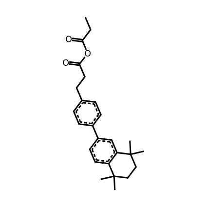 CCC(=O)OC(=O)CCc1ccc(-c2ccc3c(c2)C(C)(C)CCC3(C)C)cc1